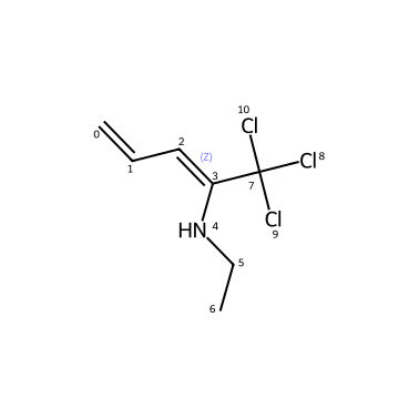 C=C/C=C(\NCC)C(Cl)(Cl)Cl